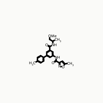 COCC(C)NC(=O)c1cc(NC(=O)c2cc(C)on2)cc(-c2ccc(C)cc2)c1